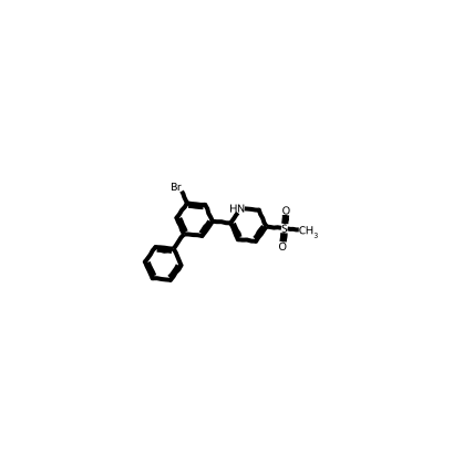 CS(=O)(=O)C1=CC=C(c2cc(Br)cc(-c3ccccc3)c2)NC1